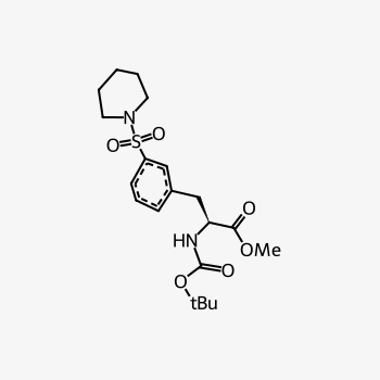 COC(=O)[C@H](Cc1cccc(S(=O)(=O)N2CCCCC2)c1)NC(=O)OC(C)(C)C